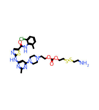 Cc1nc(Nc2ncc(C(=O)Nc3c(C)cccc3Cl)s2)cc(N2CCN(CCOC(=O)OCCSSCCN)CC2)n1